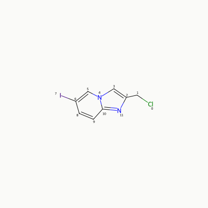 ClCc1cn2cc(I)ccc2n1